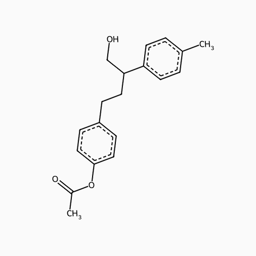 CC(=O)Oc1ccc(CCC(CO)c2ccc(C)cc2)cc1